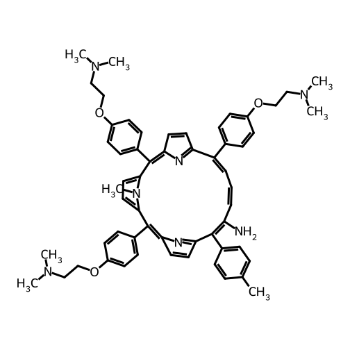 Cc1ccc(-c2c(N)cccc(-c3ccc(OCCN(C)C)cc3)c3nc(c(-c4ccc(OCCN(C)C)cc4)c4ccc(c(-c5ccc(OCCN(C)C)cc5)c5nc2C=C5)n4C)C=C3)cc1